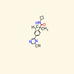 CC(C)(C(=O)NC1CCC1)c1ccc(-c2cncc(C#N)n2)cc1